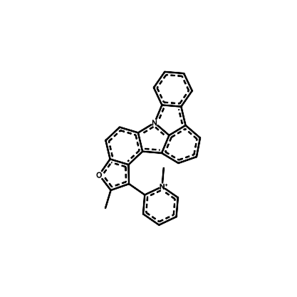 Cc1oc2ccc3c(c4cccc5c6ccccc6n3c54)c2c1-c1cccc[n+]1C